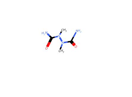 CN(C(N)=O)N(C)C(N)=O